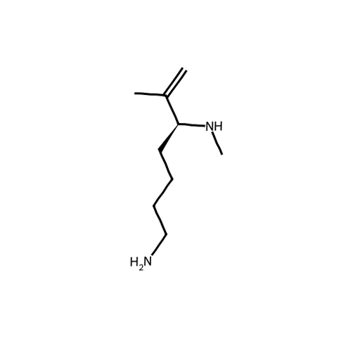 C=C(C)[C@H](CCCCN)NC